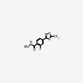 CC(C)(C)NC(=O)c1ccc(-c2noc(C(F)(F)F)n2)cc1F